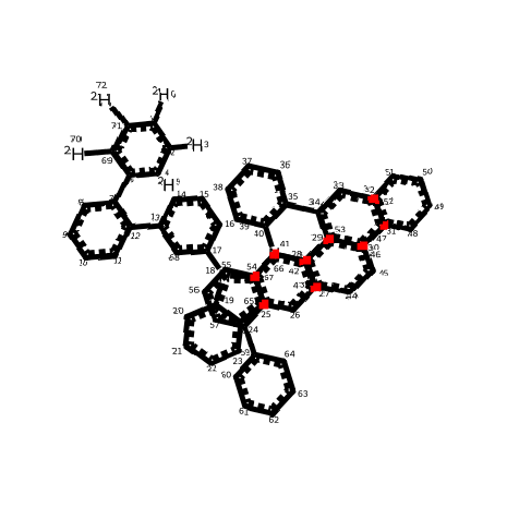 [2H]c1c([2H])c([2H])c(-c2ccccc2-c2cccc(-n3c4ccccc4c4ccc(-c5ccccc5-c5ccccc5N(c5cccc(-c6ccccc6)c5)c5cccc(-c6ccccc6)c5)cc43)c2)c([2H])c1[2H]